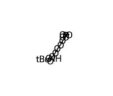 CC(C)(C)OC(=O)NOCCOCCOCCOCCOCC(=O)ON1C(=O)CCC1=O